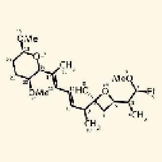 CC[C@H](OC)[C@@H](C)[C@H]1C[C@@](O)([C@@H](C)/C=C/C=C(\C)[C@@H]2O[C@H](OC)CC[C@@H]2OC)O1